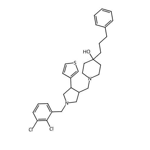 OC1(CCCc2ccccc2)CCN(CC2CN(Cc3cccc(Cl)c3Cl)CC2c2ccsc2)CC1